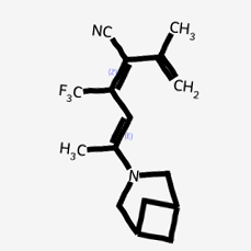 C=C(C)/C(C#N)=C(\C=C(/C)N1CC2CC(C2)C1)C(F)(F)F